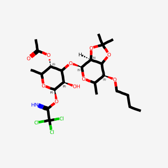 CCCCO[C@H]1C(C)O[C@@H](OC2[C@@H](OC(C)=O)C(C)O[C@H](OC(=N)C(Cl)(Cl)Cl)[C@@H]2O)[C@H]2OC(C)(C)OC12